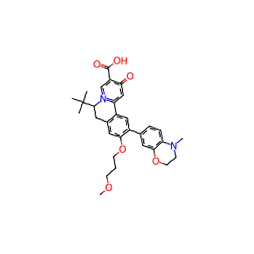 COCCCOc1cc2c(cc1-c1ccc3c(c1)OCCN3C)-c1cc(=O)c(C(=O)O)cn1C(C(C)(C)C)C2